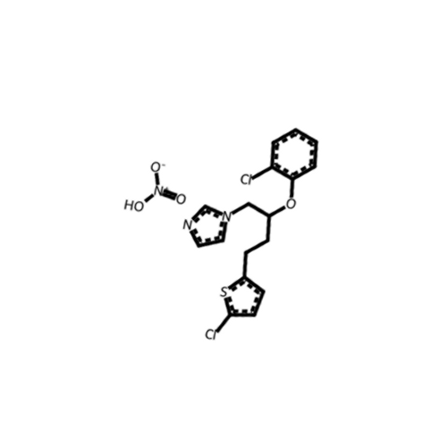 Clc1ccc(CCC(Cn2ccnc2)Oc2ccccc2Cl)s1.O=[N+]([O-])O